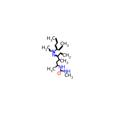 C=C/C(=N\N(C=C)C(/C=C\C)=C/C=C\C)C(C)CC(C)NC(=O)NC